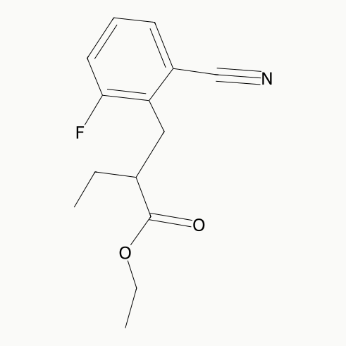 CCOC(=O)C(CC)Cc1c(F)cccc1C#N